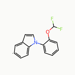 FC(F)Oc1ccccc1-n1ccc2c[c]ccc21